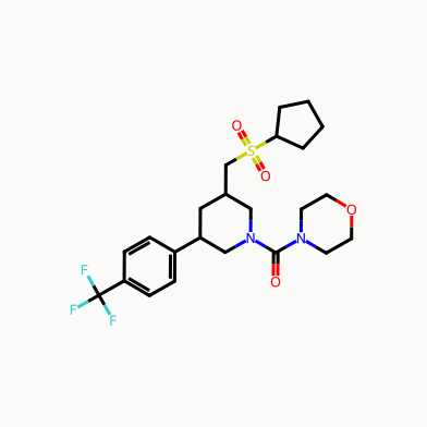 O=C(N1CCOCC1)N1CC(CS(=O)(=O)C2CCCC2)CC(c2ccc(C(F)(F)F)cc2)C1